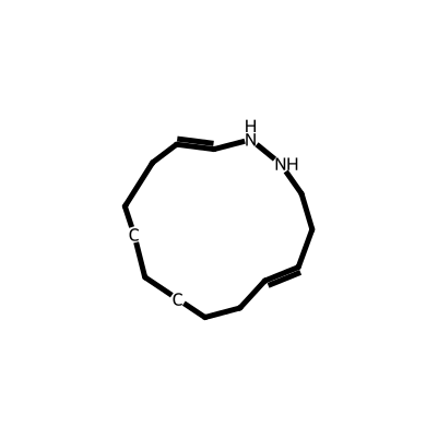 C1=C/CCNN/C=C/CCCCCCC/1